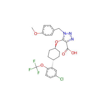 COc1ccc(Cn2nnc(C(=O)O)c2O[C@H]2CC[C@H](c3cc(Cl)ccc3OC(F)(F)F)CC2)cc1